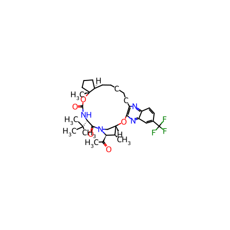 CC(=O)[C@@H]1[C@H](C)[C@@H]2CN1C(=O)[C@H](C(C)(C)C)NC(=O)O[C@]1(C)CCC[C@H]1CCCCCc1nc3ccc(C(F)(F)F)cc3nc1O2